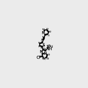 CC(C)(C)Nc1c(-c2ccc(C#Cc3ccccn3)s2)nc2c(Cl)nccn12